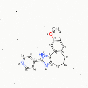 COc1ccc2c(c1)-c1[nH]c(-c3ccncc3)nc1CCC2